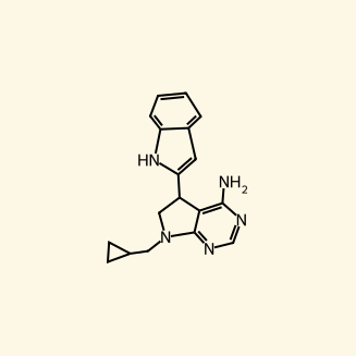 Nc1ncnc2c1C(c1cc3ccccc3[nH]1)CN2CC1CC1